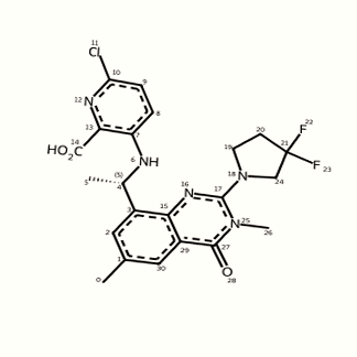 Cc1cc([C@H](C)Nc2ccc(Cl)nc2C(=O)O)c2nc(N3CCC(F)(F)C3)n(C)c(=O)c2c1